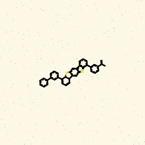 C=C(C)c1cccc(-c2cccc3c2sc2cc4c(cc23)SC2C(c3cccc(-c5ccccc5)c3)=CC=CC42)c1